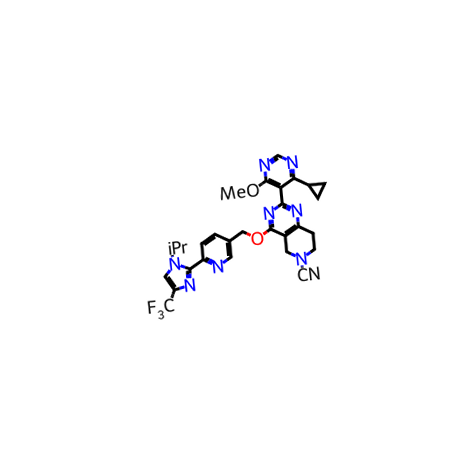 COc1ncnc(C2CC2)c1-c1nc2c(c(OCc3ccc(-c4nc(C(F)(F)F)cn4C(C)C)nc3)n1)CN(C#N)CC2